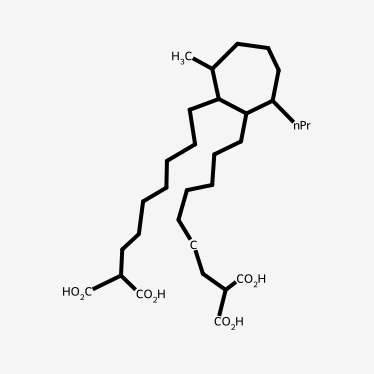 CCCC1CCCC(C)C(CCCCCCCC(C(=O)O)C(=O)O)C1CCCCCCCC(C(=O)O)C(=O)O